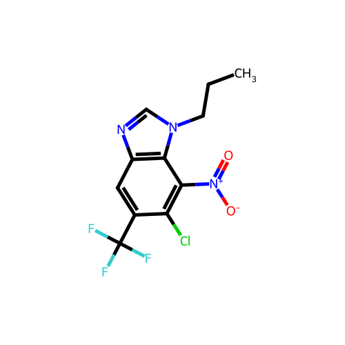 CCCn1cnc2cc(C(F)(F)F)c(Cl)c([N+](=O)[O-])c21